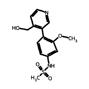 COc1cc(NS(C)(=O)=O)ccc1-c1cnccc1CO